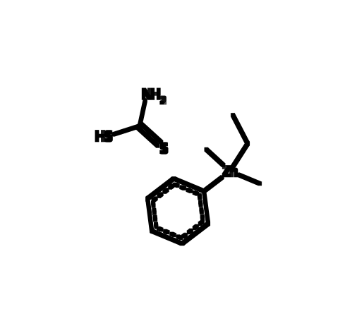 C[CH2][Zn]([CH3])([CH3])[c]1ccccc1.NC(=S)S